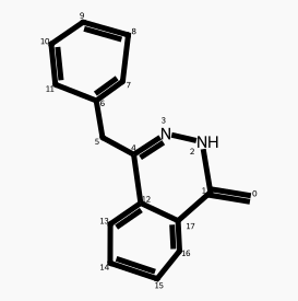 C=C1NN=C(Cc2ccccc2)c2ccccc21